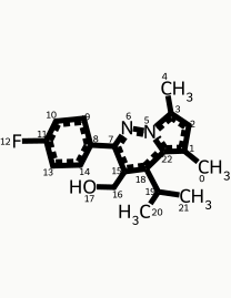 Cc1cc(C)n2nc(-c3ccc(F)cc3)c(CO)c(C(C)C)c12